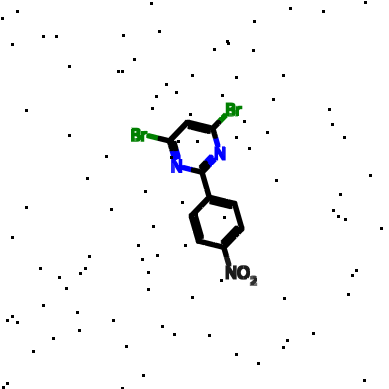 O=[N+]([O-])c1ccc(-c2nc(Br)cc(Br)n2)cc1